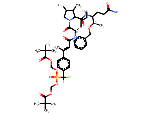 CCCC[C@H](NC(=O)/C=C(\C)c1ccc(C(F)(F)P(=O)(OCOC(=O)C(C)(C)C)OCOC(=O)C(C)(C)C)cc1)C(=O)N1CC(C)C(C)C1C(=O)NC(CCC(N)=O)[C@@H](C)OCc1ccccc1